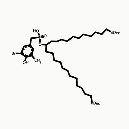 CCCCCCCCCCCCCCCCCCCCCCC(CCCCCCCCCCCCCCCCCCCCC)OP(=O)(O)Cc1cc(C)c(O)c(Br)c1